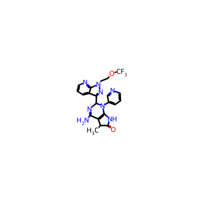 CC1C(=O)NC2=C1C(N)=NC(c1nn(CCOC(F)(F)F)c3ncccc13)N2c1cccnc1